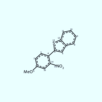 COc1ccc(-c2cc3ccccc3s2)c([N+](=O)[O-])c1